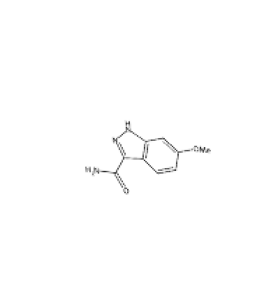 COc1ccc2c(C(N)=O)n[nH]c2c1